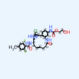 Cc1cc(F)c(C(=O)N[C@H]2C/C=C/CCC(=O)Nc3cc(NC(=O)OCCO)ccc3-c3nc2[nH]c3Cl)c(F)c1